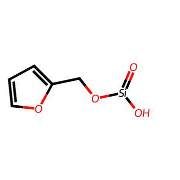 O=[Si](O)OCc1ccco1